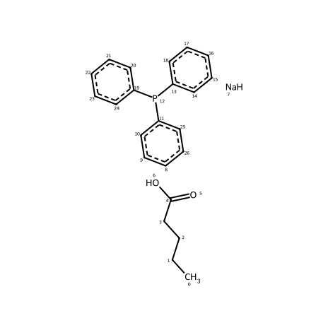 CCCCC(=O)O.[NaH].c1ccc(P(c2ccccc2)c2ccccc2)cc1